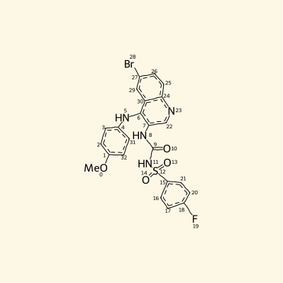 COc1ccc(Nc2c(NC(=O)NS(=O)(=O)c3ccc(F)cc3)cnc3ccc(Br)cc23)cc1